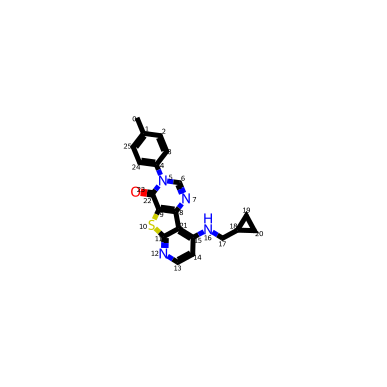 Cc1ccc(-n2cnc3c(sc4nccc(NCC5CC5)c43)c2=O)cc1